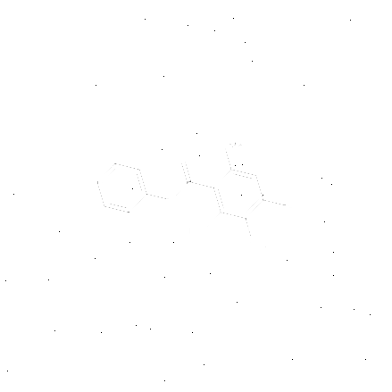 COc1cc(Br)c(C)c(C)c1C(=O)Oc1ccccc1